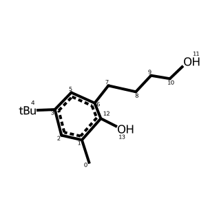 Cc1cc(C(C)(C)C)cc(CCCCO)c1O